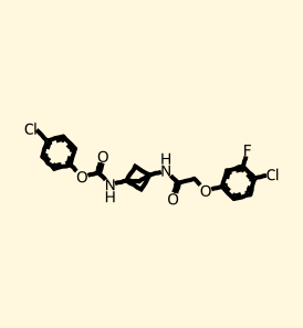 O=C(COc1ccc(Cl)c(F)c1)NC12CC(NC(=O)Oc3ccc(Cl)cc3)(C1)C2